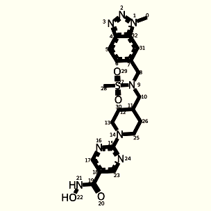 Cn1nnc2ccc(CN(CC3CCN(c4ncc(C(=O)NO)cn4)CC3)S(C)(=O)=O)cc21